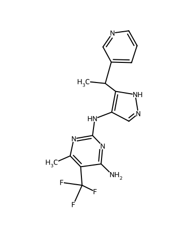 Cc1nc(Nc2cn[nH]c2C(C)c2cccnc2)nc(N)c1C(F)(F)F